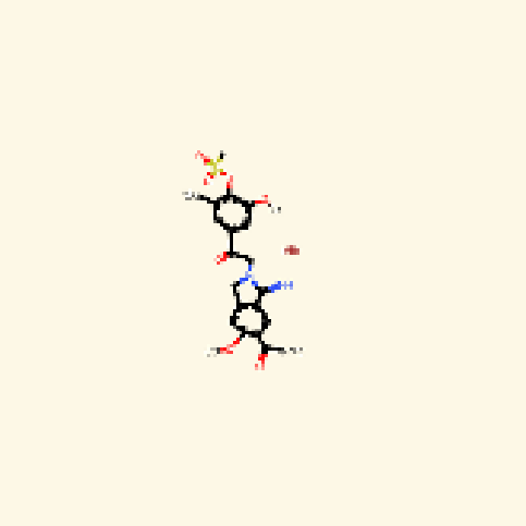 Br.CCOc1cc2c(cc1C(=O)NC)C(=N)N(CC(=O)c1cc(OCC)c(OS(C)(=O)=O)c(C(C)(C)C)c1)C2